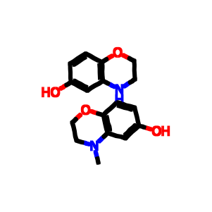 CN1CCOc2ccc(O)cc21.Oc1ccc2c(c1)NCCO2